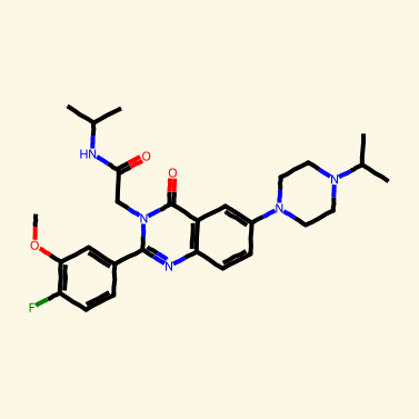 COc1cc(-c2nc3ccc(N4CCN(C(C)C)CC4)cc3c(=O)n2CC(=O)NC(C)C)ccc1F